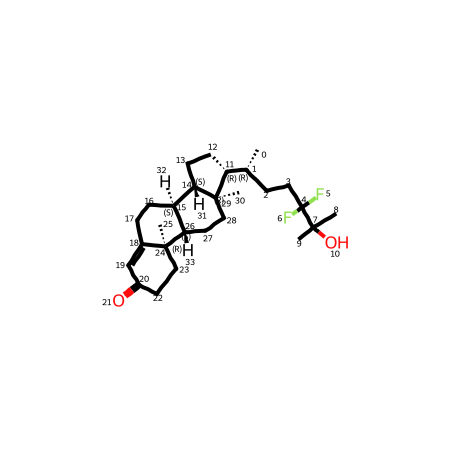 C[C@H](CCC(F)(F)C(C)(C)O)[C@H]1CC[C@H]2[C@@H]3CCC4=CC(=O)CC[C@]4(C)[C@H]3CC[C@]12C